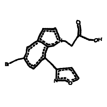 O=C(O)Cn1ccc2cc(Br)cc(-c3ccon3)c21